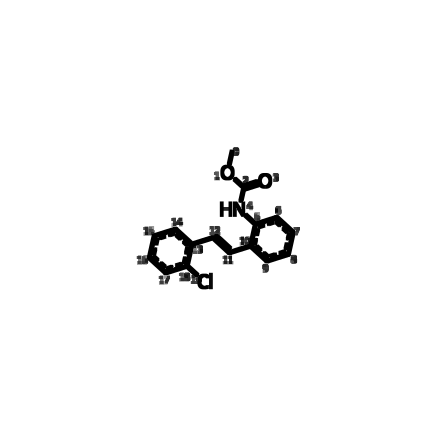 COC(=O)Nc1ccccc1C=Cc1ccccc1Cl